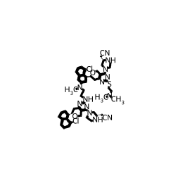 CN(C)CCSc1nc2c(c(N3CCN[C@@H](CC#N)C3)n1)CO[C@H](c1cc(N(C)CCNc3nc4c(c(N5CCN[C@@H](CC#N)C5)n3)CO[C@H](c3cccc5cccc(Cl)c35)C4)cc3cccc(Cl)c13)C2